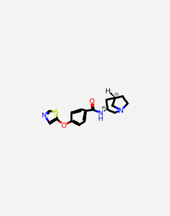 O=C(N[C@@H]1C[C@@H]2CCN(C2)C1)c1ccc(Oc2cncs2)cc1